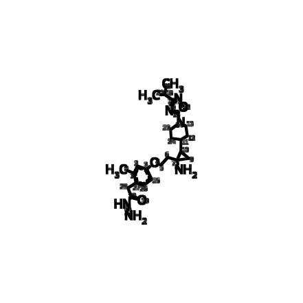 Cc1cc(OCCC2(N)CC2C2CCN(c3nc(C(C)C)no3)CC2)ccc1CC(=O)NN